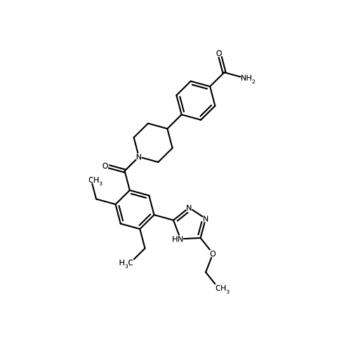 CCOc1nnc(-c2cc(C(=O)N3CCC(c4ccc(C(N)=O)cc4)CC3)c(CC)cc2CC)[nH]1